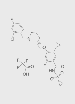 O=C(NS(=O)(=O)C1CC1)c1cc(C2CC2)c(OC[C@H]2CCCN(Cc3ccc(F)cc3Cl)C2)cc1F.O=C(O)C(F)(F)F